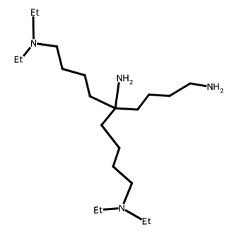 CCN(CC)CCCCC(N)(CCCCN)CCCCN(CC)CC